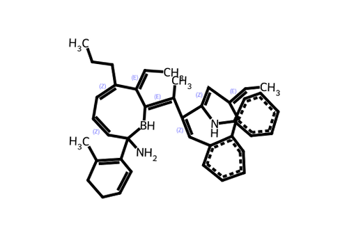 C/C=C1/C=C(Nc2ccccc2)/C(C(/C)=C2\BC(N)(C3=C(C)CCC=C3)\C=C/C=C(CCC)\C2=C\C)=C\c2ccccc2C1